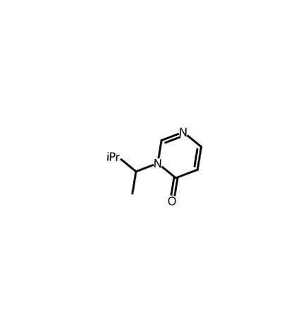 CC(C)C(C)n1cnccc1=O